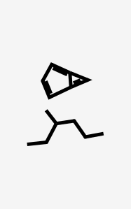 CCCC(C)CC.c1cc2cc-2c1